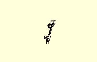 CO[SiH](OC)OCCCCc1cccc(C(F)(F)F)c1